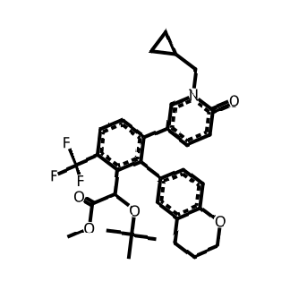 COC(=O)C(OC(C)(C)C)c1c(C(F)(F)F)ccc(-c2ccc(=O)n(CC3CC3)c2)c1-c1ccc2c(c1)CCCO2